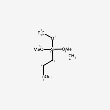 C.CCCCCCCCCC[Si](OC)(OC)OC(F)(F)F